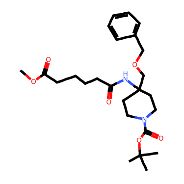 COC(=O)CCCCC(=O)NC1(COCc2ccccc2)CCN(C(=O)OC(C)(C)C)CC1